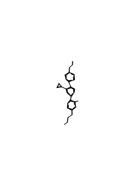 CCCCc1ccc(-c2ccc(-c3ccc(CCC)cc3)c(C3CC3)c2)c(F)c1